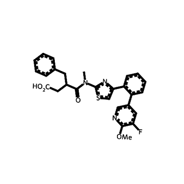 COc1ncc(-c2ccccc2-c2csc(N(C)C(=O)C(CC(=O)O)Cc3ccccc3)n2)cc1F